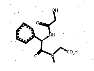 CN(CC(=O)O)C(=O)[C@H](NC(=O)CO)c1ccccc1